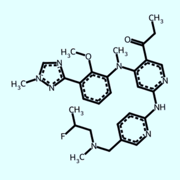 CCC(=O)c1cnc(Nc2ccc(CN(C)CC(C)F)cn2)cc1N(C)c1cccc(-c2ncn(C)n2)c1OC